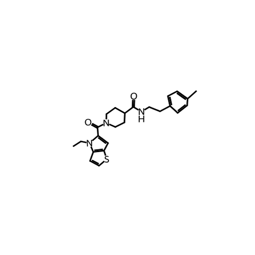 CCn1c(C(=O)N2CCC(C(=O)NCCc3ccc(C)cc3)CC2)cc2sccc21